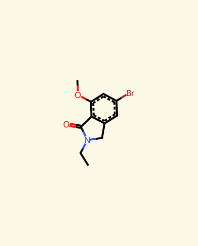 CCN1Cc2cc(Br)cc(OC)c2C1=O